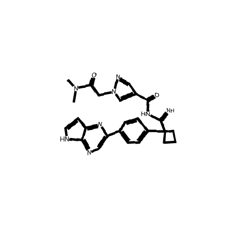 CN(C)C(=O)Cn1cc(C(=O)NC(=N)C2(c3ccc(-c4cnc5[nH]ccc5n4)cc3)CCC2)cn1